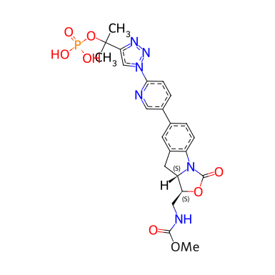 COC(=O)NC[C@@H]1OC(=O)N2c3ccc(-c4ccc(-n5cc(C(C)(C)OP(=O)(O)O)nn5)nc4)cc3C[C@@H]12